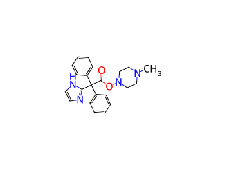 CN1CCN(OC(=O)C(c2ccccc2)(c2ccccc2)c2ncc[nH]2)CC1